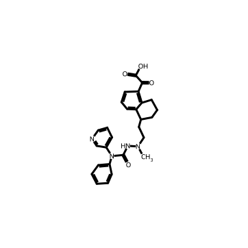 CN(CCC1CCCc2c(C(=O)C(=O)O)cccc21)NC(=O)N(c1ccccc1)c1cccnc1